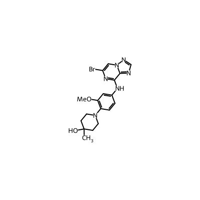 COc1cc(Nc2nc(Br)cn3ncnc23)ccc1N1CCC(C)(O)CC1